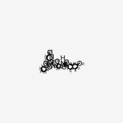 COc1ccc2ccc(S(=O)(=O)N[C@H]3CCN(Cc4cc5nc(Cl)ccc5n4S(=O)(=O)c4ccccc4)C3=O)cc2c1